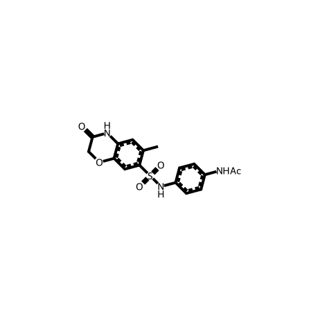 CC(=O)Nc1ccc(NS(=O)(=O)c2cc3c(cc2C)NC(=O)CO3)cc1